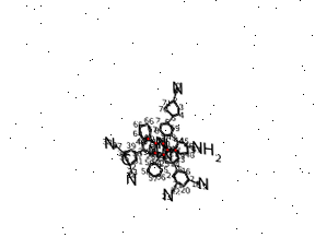 N#Cc1ccc(-c2ccc(-n3c4ccc(-c5cc(C#N)cc(C#N)c5)cc4c4cc(-c5cc(C#N)cc(C#N)c5)ccc43)c(-c3cc(N)ccc3-c3nc(-c4ccccc4)nc(-c4ccccc4)n3)c2)cc1